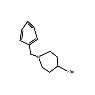 CCC[CH]C1CCN(Cc2ccccc2)CC1